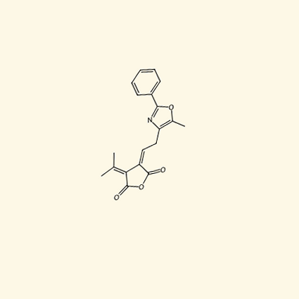 CC(C)=C1C(=O)OC(=O)C1=CCc1nc(-c2ccccc2)oc1C